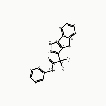 CC(=O)C(Cl)(C(=O)Nc1ccccc1)c1n[nH]c2c1Cc1ccccc1-2